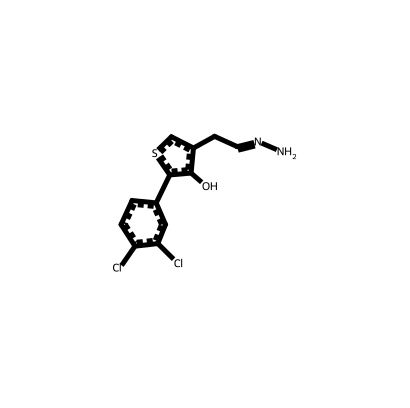 NN=CCc1csc(-c2ccc(Cl)c(Cl)c2)c1O